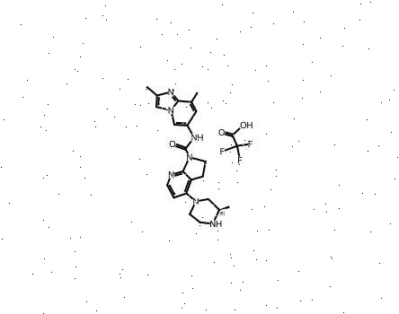 Cc1cn2cc(NC(=O)N3CCc4c(N5CCN[C@H](C)C5)ccnc43)cc(C)c2n1.O=C(O)C(F)(F)F